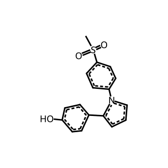 CS(=O)(=O)c1ccc(-n2cccc2-c2ccc(O)cc2)cc1